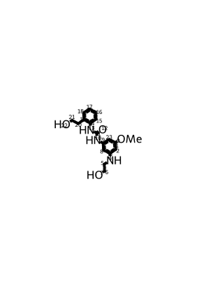 COc1cc(NCCO)cc(NC(=O)Nc2ccccc2CCO)c1